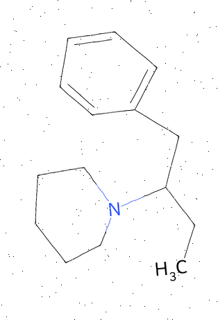 CCC(Cc1ccccc1)N1CCCCC1